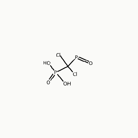 O=PC(Cl)(Cl)P(=O)(O)O